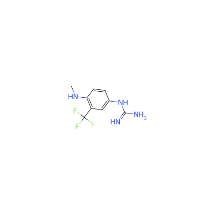 CNc1ccc(NC(=N)N)cc1C(F)(F)F